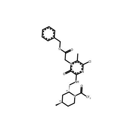 Cc1c(Cl)nc(NC[C@H]2C[C@H](C)CCN2C(=O)C(F)(F)F)c(=O)n1CC(=O)OCc1ccccc1